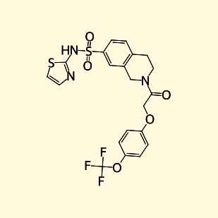 O=C(COc1ccc(OC(F)(F)F)cc1)N1CCc2ccc(S(=O)(=O)Nc3nccs3)cc2C1